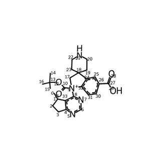 CC1CCc2ncnc([N+]3(C(=O)OC(C)(C)C)CC4(CCNCC4)c4cc(C(=O)O)ccc43)c21